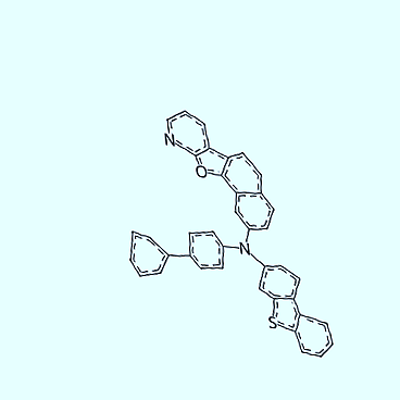 c1ccc(-c2ccc(N(c3ccc4c(c3)sc3ccccc34)c3ccc4ccc5c6cccnc6oc5c4c3)cc2)cc1